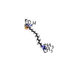 CN(C)CCCCCCCCCCCCCCC(=O)NC(CS)C(=O)O